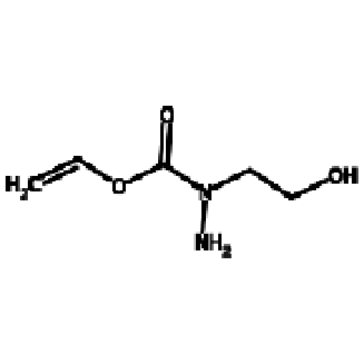 C=COC(=O)N(N)CCO